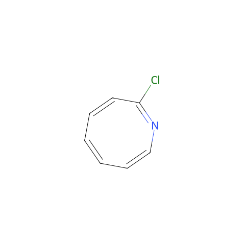 ClC1=NC=CC=CC=C1